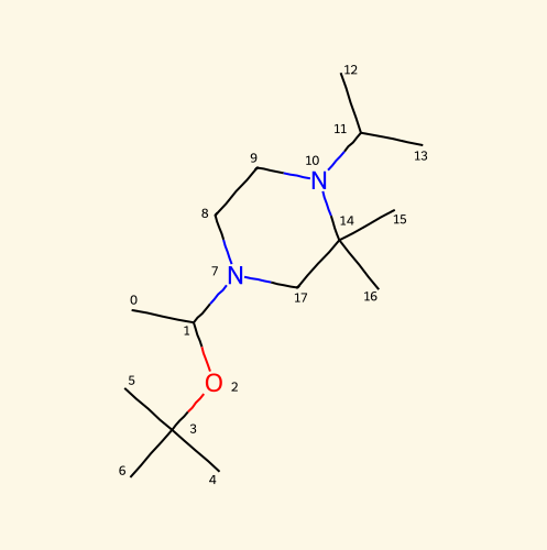 CC(OC(C)(C)C)N1CCN(C(C)C)C(C)(C)C1